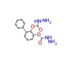 NNC(=O)Oc1cccc(-c2ccccc2)c1OC(=O)NN